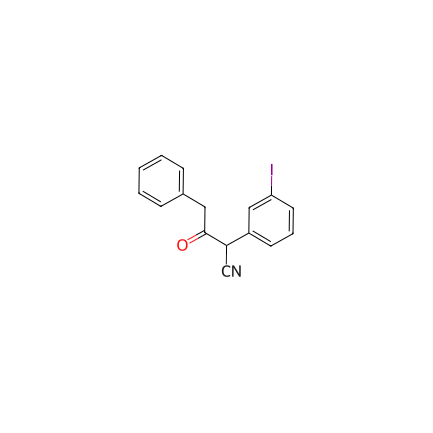 N#CC(C(=O)Cc1ccccc1)c1cccc(I)c1